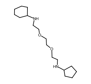 C1CCC(NCCOCCOCCNC2CCCC2)CC1